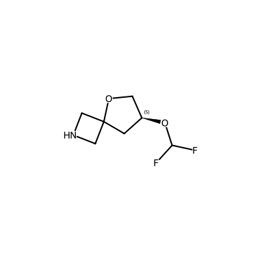 FC(F)O[C@@H]1COC2(CNC2)C1